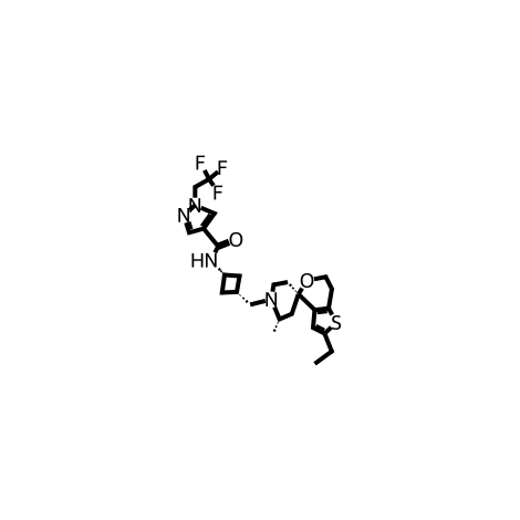 CCc1cc2c(s1)CCO[C@@]21CCN(C[C@H]2C[C@@H](NC(=O)c3cnn(CC(F)(F)F)c3)C2)[C@@H](C)C1